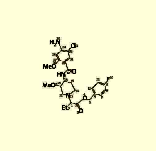 CCC(C(=O)OCc1ccc(F)cc1)N1CCC(NC(=O)c2cc(Cl)c(N)cc2OC)C(OC)C1